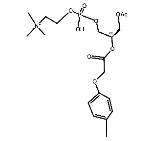 CC(=O)OC[C@H](COP(=O)(O)OCC[N+](C)(C)C)OC(=O)COc1ccc(I)cc1